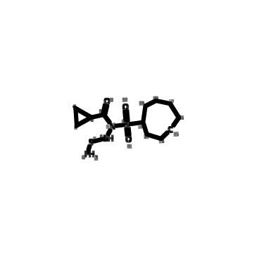 O=C(C1CC1)N(BSP)S(=O)(=O)C1CCCCCCC1